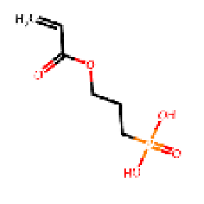 C=CC(=O)OCCCP(=O)(O)O